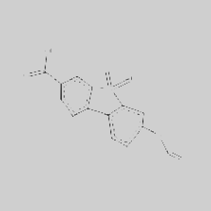 O=COc1ccc2c(c1)S(=O)(=O)c1cc(C(=O)O)ccc1-2